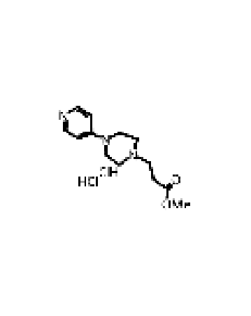 COC(=O)CCN1CCN(c2ccncc2)CC1.Cl.Cl